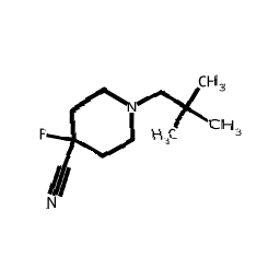 CC(C)(C)CN1CCC(F)(C#N)CC1